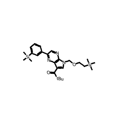 CC(C)(C)C(=O)c1cn(COCC[Si](C)(C)C)c2ncc(-c3cccc([Si](C)(C)C)c3)nc12